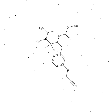 C#CCOc1cccc(CC2N(C(=O)OC(C)(C)C)CC(C)N(C(=O)O)C2(C)F)c1